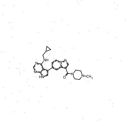 CN1CCN(C(=O)c2cnn3ccc(-c4c[nH]c5ncnc(NCC6CC6)c45)cc23)CC1